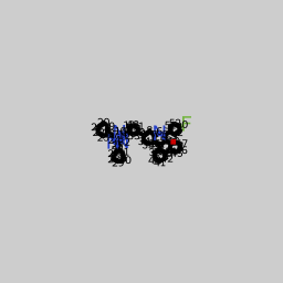 Fc1ccc(-c2nc3cc(-c4cccc(-c5nc(-c6ccccc6)nc(-c6ccccc6)n5)c4)ccc3c3c4ccccc4c4ccccc4c23)cc1